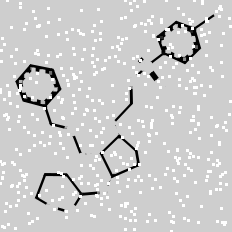 Cc1ccc(S(=O)(=O)OCC[C@@H]2CC[C@@H](OC3CCCCO3)[C@@H]2COCc2ccccc2)cc1